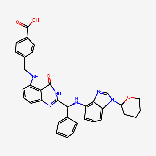 O=C(O)c1ccc(CNc2cccc3nc([C@@H](Nc4cccc5c4ncn5C4CCCCO4)c4ccccc4)[nH]c(=O)c23)cc1